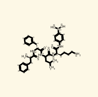 CC(C)CC(NC(=O)[C@@H](Cc1ccccc1)NC(=O)[C@H](N)Cc1ccccc1)C(=O)N[C@H](CCCCN)C(=O)Nc1ccc(B(O)O)cc1